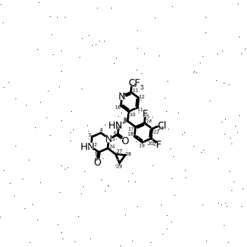 O=C1NCCN(C(=O)N[C@H](c2ccc(C(F)(F)F)nc2)c2ccc(F)c(Cl)c2F)C1C1CC1